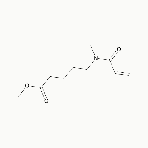 C=CC(=O)N(C)CCCCC(=O)OC